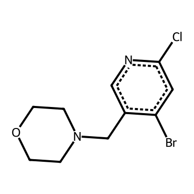 Clc1cc(Br)c(CN2CCOCC2)cn1